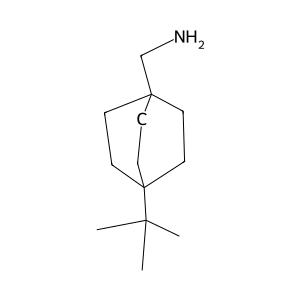 CC(C)(C)C12CCC(CN)(CC1)CC2